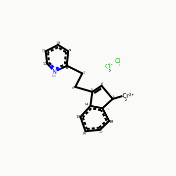 [Cl-].[Cl-].[Cr+2][CH]1C=C(CCc2ccccn2)c2ccccc21